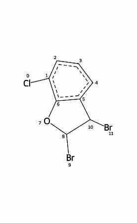 Clc1cccc2c1OC(Br)C2Br